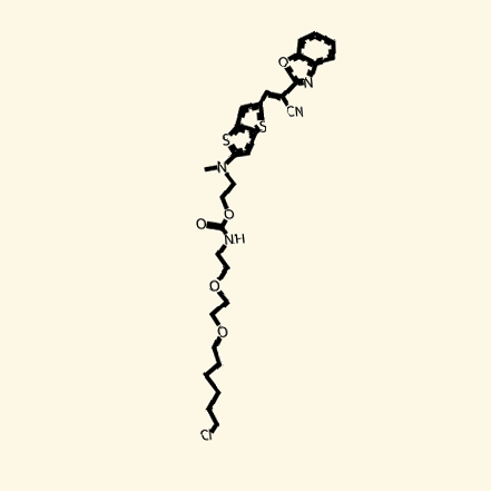 CN(CCOC(=O)NCCOCCOCCCCCCCl)c1cc2sc(/C=C(\C#N)c3nc4ccccc4o3)cc2s1